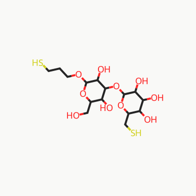 OCC1OC(OCCCS)C(O)C(OC2OC(CS)C(O)C(O)C2O)C1O